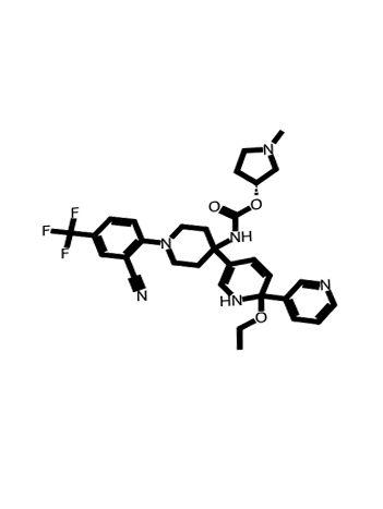 CCOC1(c2cccnc2)C=CC(C2(NC(=O)O[C@@H]3CCN(C)C3)CCN(c3ccc(C(F)(F)F)cc3C#N)CC2)=CN1